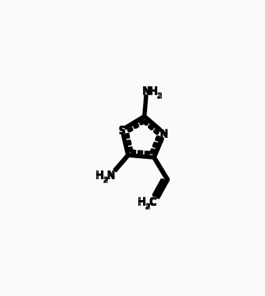 C=Cc1nc(N)sc1N